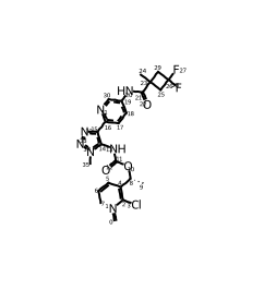 C=N/C(Cl)=C(\C=C/C)[C@@H](C)OC(=O)Nc1c(-c2ccc(NC(=O)C3(C)CC(F)(F)C3)cn2)nnn1C